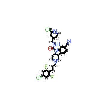 N#Cc1ccc2c3c(n(C(=O)NCc4ccnc(Cl)c4)c2c1)CCN(C/C=C/c1c(F)cc(Cl)cc1F)C3